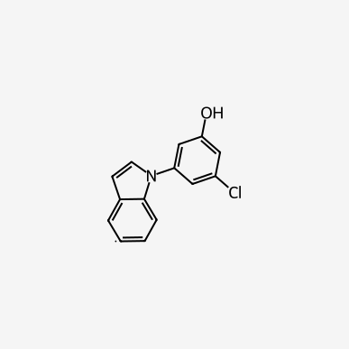 Oc1cc(Cl)cc(-n2ccc3c[c]ccc32)c1